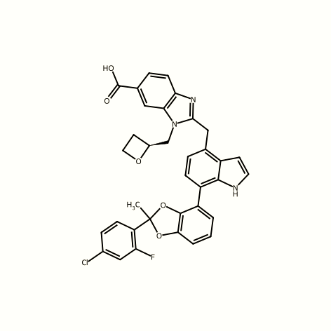 CC1(c2ccc(Cl)cc2F)Oc2cccc(-c3ccc(Cc4nc5ccc(C(=O)O)cc5n4C[C@@H]4CCO4)c4cc[nH]c34)c2O1